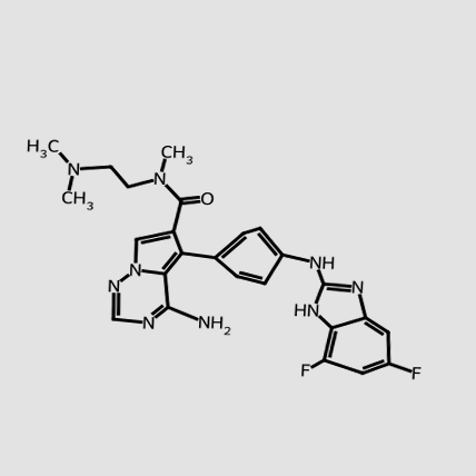 CN(C)CCN(C)C(=O)c1cn2ncnc(N)c2c1-c1ccc(Nc2nc3cc(F)cc(F)c3[nH]2)cc1